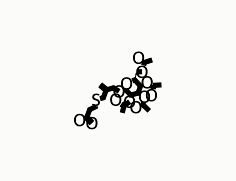 C=C(CO[C@H]1O[C@H](COC(C)=O)[C@H](OC(C)=O)[C@H](OC(C)=O)[C@H]1OC(C)=O)CSCCC(=O)OC